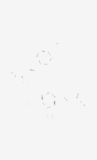 NC(=O)/C=C/c1cc(O)c(O)cc1C1CCC(c2cc(O)c(O)cc2/C=C/C(N)=O)C1O